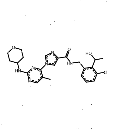 Cc1cnc(NC2CCOCC2)nc1-n1cnc(C(=O)NCc2cccc(Cl)c2C(C)O)c1